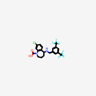 O=C(O)N1CCCC(NCc2cc(C(F)(F)F)cc(C(F)(F)F)c2)c2ccc(Cl)cc21